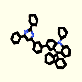 c1ccc(-c2cc(-c3cccc(-c4ccc5c(c4)[Si](c4ccccc4)(c4ccccc4)c4ccccc4N5c4ccccc4)c3)nc(-c3ccccc3)n2)cc1